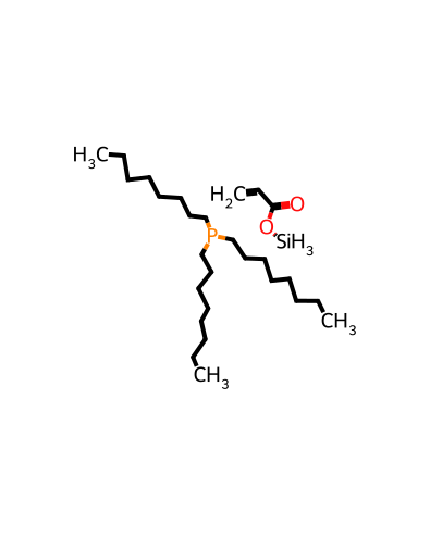 C=CC(=O)O[SiH3].CCCCCCCCP(CCCCCCCC)CCCCCCCC